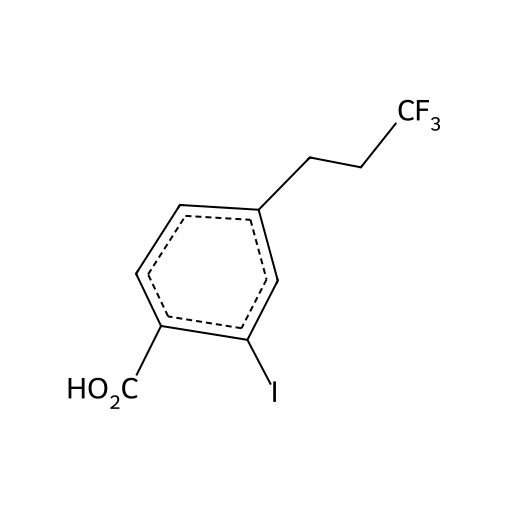 O=C(O)c1ccc(CCC(F)(F)F)cc1I